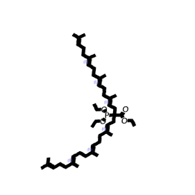 CCOC(=O)C(C/C=C(\C)CC/C=C(\C)CC/C=C(\C)CCC=C(C)C)(C/C=C(\C)CC/C=C(\C)CC/C=C(\C)CCC=C(C)C)P(OCC)OCC